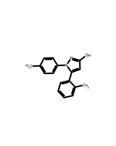 Cc1ccc(-n2nc(O)cc2-c2ccccc2C)cc1